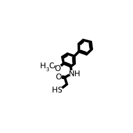 COc1ccc(-c2ccccc2)cc1NC(=O)CS